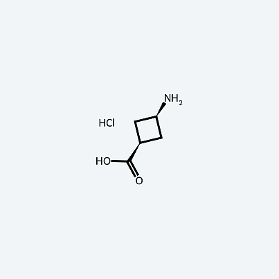 Cl.N[C@H]1C[C@@H](C(=O)O)C1